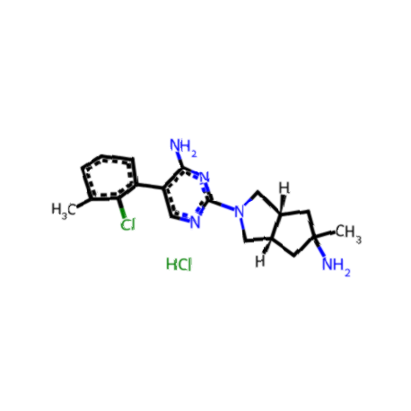 Cc1cccc(-c2cnc(N3C[C@@H]4CC(C)(N)C[C@@H]4C3)nc2N)c1Cl.Cl